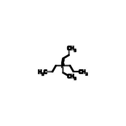 CCC=P(CC)(CCC)CCC